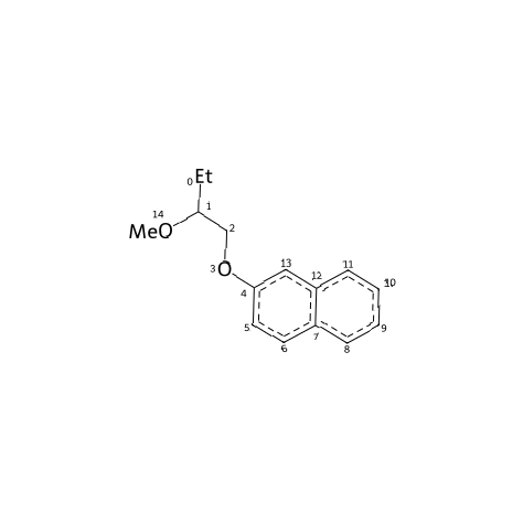 CCC(COc1ccc2ccccc2c1)OC